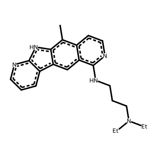 CCN(CC)CCCNc1nccc2c(C)c3[nH]c4ncccc4c3cc12